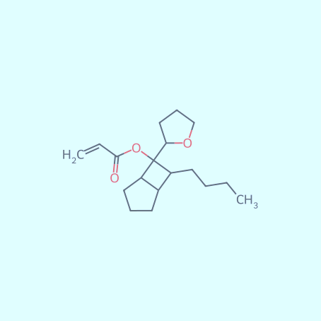 C=CC(=O)OC1(C2CCCO2)C(CCCC)C2CCCC21